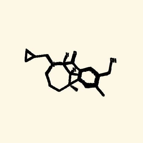 Cc1cc2c(cc1CO)C(=O)[C@@H]1[C@H](C)[C@]2(C)CCCN1CC1CC1